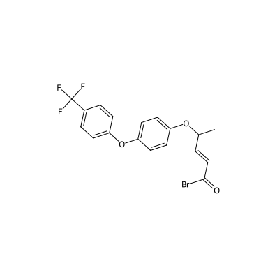 CC(C=CC(=O)Br)Oc1ccc(Oc2ccc(C(F)(F)F)cc2)cc1